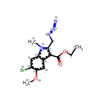 CCOC(=O)c1c(CN=[N+]=[N-])n(C)c2cc(Br)c(OC)cc12